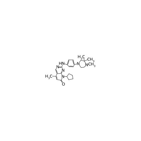 Cc1cc(=O)n(C2CCCC2)c2nc(Nc3ccc(N4CCN(C)C(C)(C)C4)cc3)ncc12